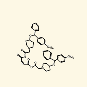 COc1ccc(C(OC2CCN(CC(=O)OC(=O)/C=C\C(=O)OC(=O)CN3CCC(OC(c4ccccc4)c4ccc(OC)cc4)CC3)CC2)c2ccccc2)cc1